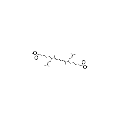 COC(=O)CCCCCC(CC=C(C)C)/C(C)=C/CC/C=C(\C)C(CC=C(C)C)CCCCCC(=O)OC